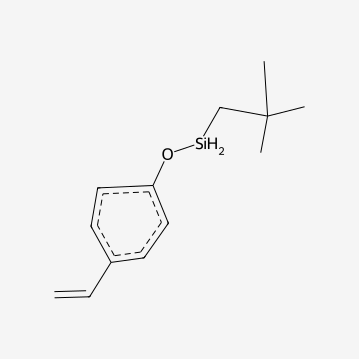 C=Cc1ccc(O[SiH2]CC(C)(C)C)cc1